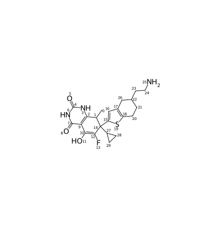 CC1c2[nH]c(=O)[nH]c(=O)c2C(O)=C(F)C1(c1cc2c(s1)CCC(CCN)C2)C1CC1